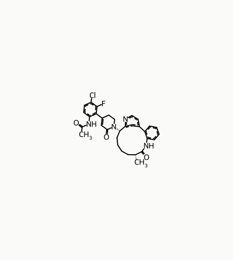 CC(=O)Nc1ccc(Cl)c(F)c1C1=CC(=O)N([C@H]2CCCC[C@@H](C)C(=O)Nc3ccccc3-c3ccnc2c3)CC1